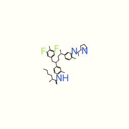 C=C(Nc1ccc(C(CC[C@@H](C)c2ccc(C)c(/N=C(\C)C3CCCN3C)c2)Cc2cc(F)c(C)c(F)c2)cc1C)[C@@H](C)CCCC